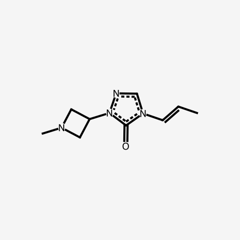 C/C=C/n1cnn(C2CN(C)C2)c1=O